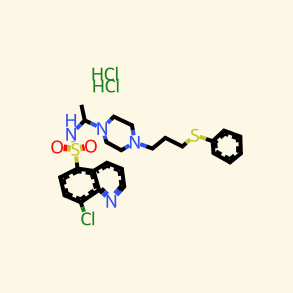 CC(NS(=O)(=O)c1ccc(Cl)c2ncccc12)N1CCN(CCCSc2ccccc2)CC1.Cl.Cl